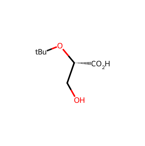 CC(C)(C)O[C@@H](CO)C(=O)O